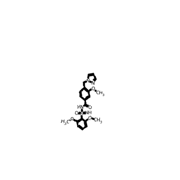 COc1cc(C(=O)NS(=N)(=O)c2c(OC)cccc2OC)ccc1Cn1cccn1